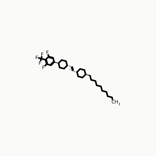 CCCCCCCCCC[C@H]1CC[C@H](/C=C/[C@H]2CC[C@H](c3cc(F)c(C(F)(F)F)c(F)c3)CC2)CC1